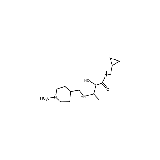 CC(NCC1CCN(C(=O)O)CC1)C(O)C(=O)NCC1CC1